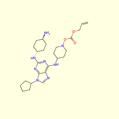 C=CCOC(=O)ON1CCC(Nc2nc(N[C@H]3CC[C@H](N)CC3)nc3c2ncn3C2CCCC2)CC1